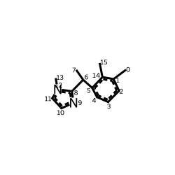 Cc1cccc(C(C)c2nccn2C)c1C